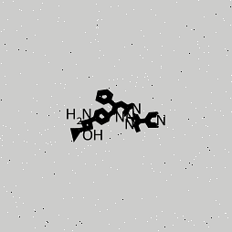 Cc1nn2c(ncc3cc(-c4ccccc4)c(-c4ccc(C5(N)CC(O)(C6CC6)C5)cc4)nc32)c1-c1ccncc1